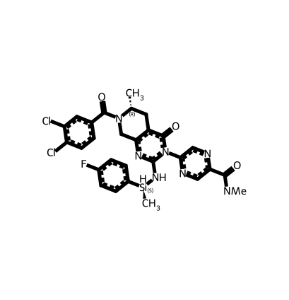 CNC(=O)c1cnc(-n2c(N[Si@@H](C)c3ccc(F)cc3)nc3c(c2=O)C[C@@H](C)N(C(=O)c2ccc(Cl)c(Cl)c2)C3)cn1